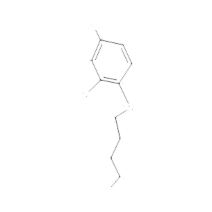 Cc1ccc(NCCCCO)c(N)c1